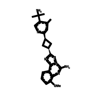 COc1cccc2c1nc(N)n1nc([C@H]3C[C@H](c4cc(C)c(C(C)(C)N)cn4)C3)nc21